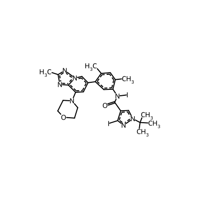 Cc1nc2c(N3CCOCC3)cc(-c3cc(N(I)C(=O)c4cn(C(C)(C)C)nc4I)c(C)cc3C)cn2n1